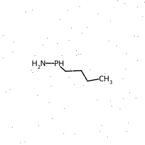 CCCCPN